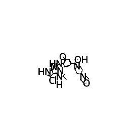 COc1cc([C@H](O)N2CCC(N3CCOCC3)CC2)ccc1Nc1nc(NC(C)C)c2c(Cl)c[nH]c2n1